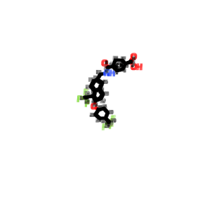 O=C(O)C12CCC(C(=O)NCc3ccc4c(C(F)(F)F)c(OC5CCC(C(F)(F)F)CC5)ccc4c3)(CC1)CC2